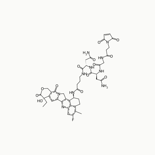 CC[C@@]1(O)C(=O)OCc2c1cc1n(c2=O)Cc2c-1nc1cc(F)c(C)c3c1c2[C@@H](NC(=O)CCCNC(=O)[C@H](CC(N)=O)NC(=O)[C@H](CC(N)=O)NC(=O)CNC(=O)CCN1C(=O)C=CC1=O)CC3